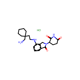 Cl.NCC1(CCNc2cccc3c2CN(C2CCC(=O)NC2=O)C3=O)CCCCC1